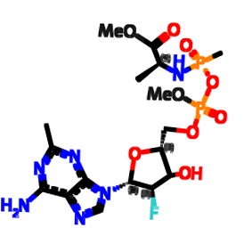 COC(=O)[C@H](C)NP(C)(=O)OP(=O)(OC)OC[C@H]1O[C@@H](n2cnc3c(N)nc(C)nc32)[C@H](F)C1O